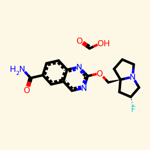 NC(=O)c1ccc2nc(OC[C@@]34CCCN3C[C@H](F)C4)ncc2c1.O=CO